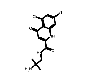 CC(C)(N)CNC(=O)c1cc(=O)c2c(Cl)cc(Cl)cc2[nH]1